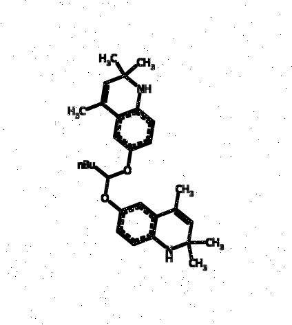 CCCCC(Oc1ccc2c(c1)C(C)=CC(C)(C)N2)Oc1ccc2c(c1)C(C)=CC(C)(C)N2